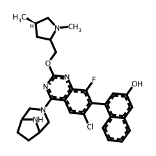 C[C@@H]1CC(COc2nc(N3CC4CCC(C3)N4)c3cc(Cl)c(-c4cc(O)cc5ccccc45)c(F)c3n2)N(C)C1